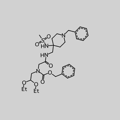 CCOC(CN(CC(=O)NCC1(NS(C)(=O)=O)CCN(Cc2ccccc2)CC1)C(=O)OCc1ccccc1)OCC